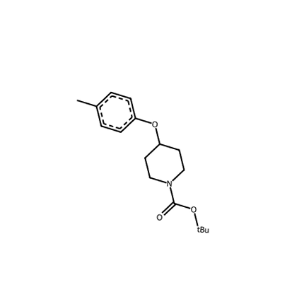 Cc1ccc(OC2CCN(C(=O)OC(C)(C)C)CC2)cc1